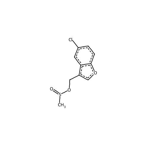 CS(=O)OCc1coc2ccc(Cl)cc12